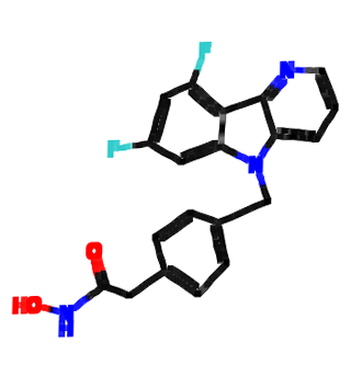 O=C(Cc1ccc(Cn2c3cccnc3c3c(F)cc(F)cc32)cc1)NO